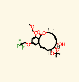 COCOc1cc(OCC(F)(F)F)cc2c1C(=O)O[C@@H](C)[C@H](C)/C=C\C(O)[C@H]1OC(C)(C)O[C@H]1C/C=C/2